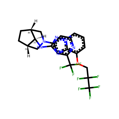 FC(F)(F)c1cc(N2C[C@H]3CC[C@@H](C2)[C@@H]3Nc2nc3c(OCC(F)(F)C(F)(F)F)cccn3n2)ccn1